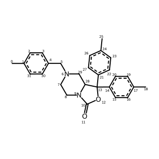 Cc1ccc(CN2CCN3C(=O)OC(c4ccc(C)cc4)(c4ccc(C)cc4)C3C2)cc1